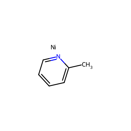 Cc1ccccn1.[Ni]